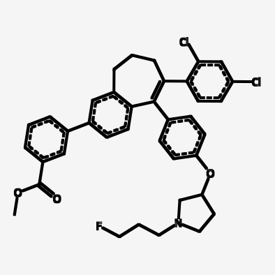 COC(=O)c1cccc(-c2ccc3c(c2)CCCC(c2ccc(Cl)cc2Cl)=C3c2ccc(OC3CCN(CCCF)C3)cc2)c1